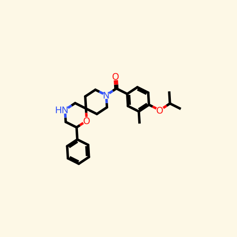 Cc1cc(C(=O)N2CCC3(CC2)CNCC(c2ccccc2)O3)ccc1OC(C)C